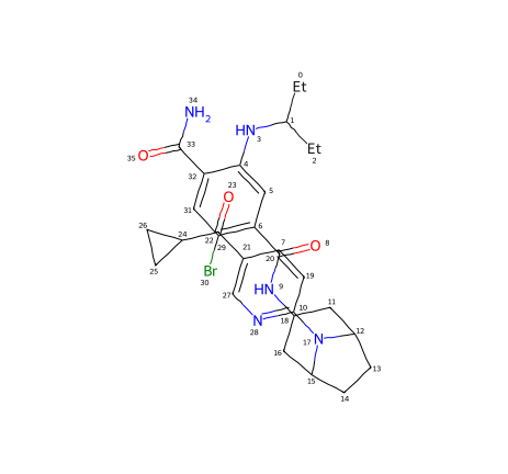 CCC(CC)Nc1cc(C(=O)NC2CC3CCC(C2)N3c2ccc(C(=O)C3CC3)cn2)c(Br)cc1C(N)=O